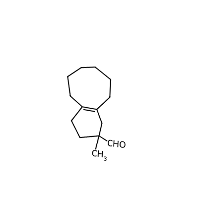 CC1(C=O)CCC2=C(CCCCCC2)C1